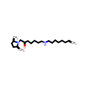 C=CCCCCCCNCCCCCC(=O)CN1C(=C)CCC1=C